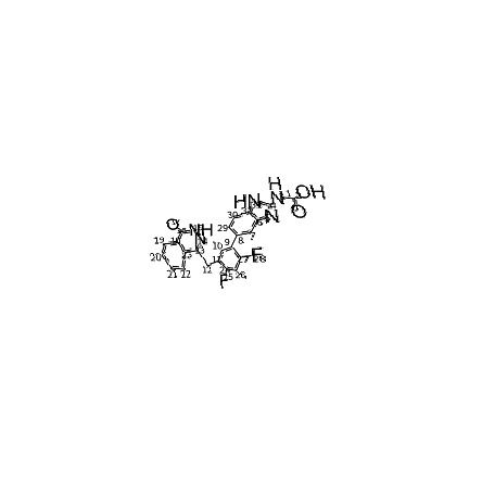 O=C(O)Nc1nc2cc(-c3cc(Cc4n[nH]c(=O)c5ccccc45)c(F)cc3F)ccc2[nH]1